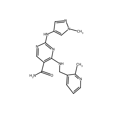 Cc1ncccc1CNc1nc(Nc2cnn(C)c2)ncc1C(N)=O